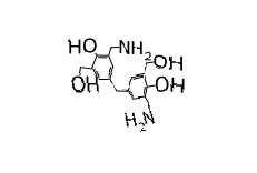 NCc1cc(Cc2cc(CN)c(O)c(CO)c2)cc(CO)c1O